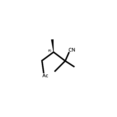 CC(=O)C[C@@H](C)C(C)(C)C#N